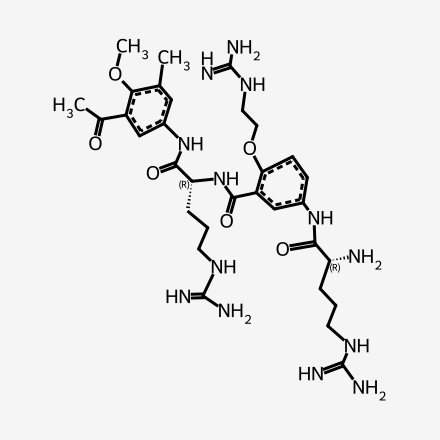 COc1c(C)cc(NC(=O)[C@@H](CCCNC(=N)N)NC(=O)c2cc(NC(=O)[C@H](N)CCCNC(=N)N)ccc2OCCNC(=N)N)cc1C(C)=O